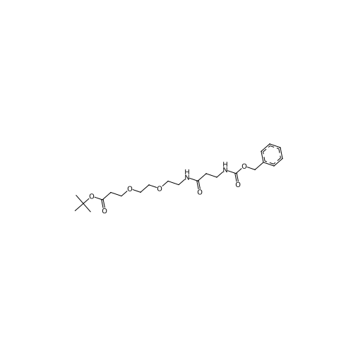 CC(C)(C)OC(=O)CCOCCOCCNC(=O)CCNC(=O)OCc1ccccc1